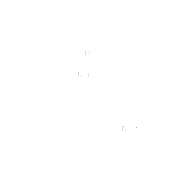 CC(=O)Nc1cccc(-c2ccc(C3CCCC3NS(=O)(=O)C(C)C)cc2)c1